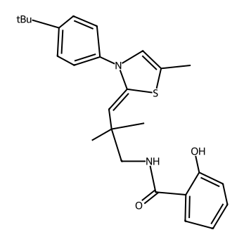 CC1=CN(c2ccc(C(C)(C)C)cc2)C(=CC(C)(C)CNC(=O)c2ccccc2O)S1